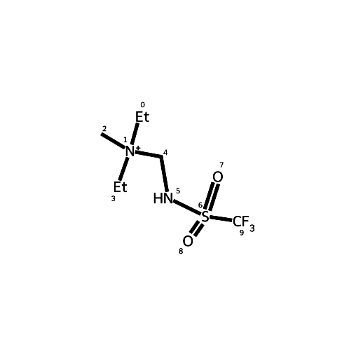 CC[N+](C)(CC)CNS(=O)(=O)C(F)(F)F